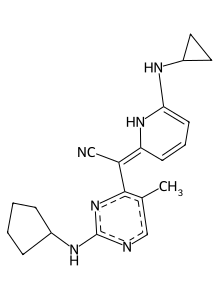 Cc1cnc(NC2CCCC2)nc1C(C#N)=C1C=CC=C(NC2CC2)N1